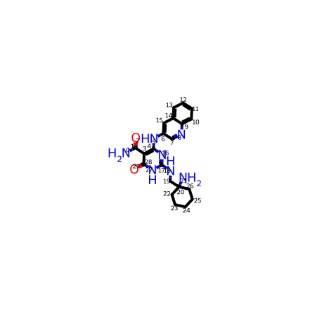 NC(=O)c1c(Nc2cnc3ccccc3c2)nc(NCC2(N)CCCCC2)[nH]c1=O